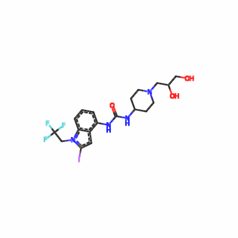 O=C(Nc1cccc2c1cc(I)n2CC(F)(F)F)NC1CCN(CC(O)CO)CC1